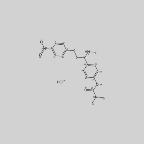 CNC(CCc1ccc([N+](=O)[O-])cc1)c1ccc(OC(=O)N(C)C)cc1.Cl